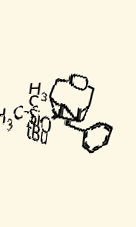 CC(C)(C)[Si](C)(C)OC1CC2COCC1N2Cc1ccccc1